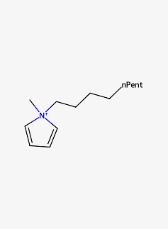 CCCCCCCCC[N+]1(C)C=CC=C1